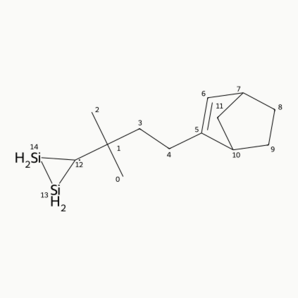 CC(C)(CCC1=CC2CCC1C2)[C]1[SiH2][SiH2]1